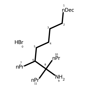 Br.CCCCCCCCCCCCCCC(CCC)C(N)(CCC)CCC